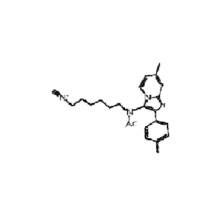 C#[N+]CCCCCCN(C(C)=O)c1c(-c2ccc(C)cc2)nc2cc(C)ccn12